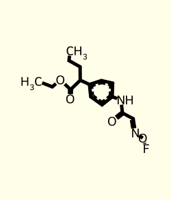 CCCC(C(=O)OCC)c1ccc(NC(=O)/C=N/OF)cc1